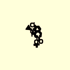 CC(C)(C)OC(=O)N1CCc2ccc(Cl)c3c2[C@@H](C1)CN3C1CC1